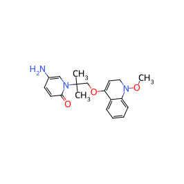 CON1CC=C(OCC(C)(C)n2cc(N)ccc2=O)c2ccccc21